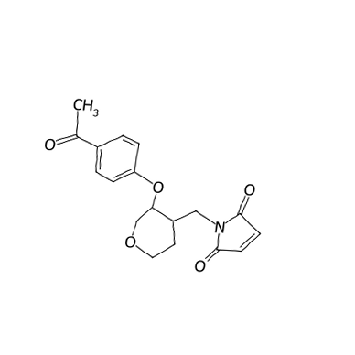 CC(=O)c1ccc(OC2COCCC2CN2C(=O)C=CC2=O)cc1